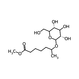 COC(=O)CCCCC(C)OC1OC(CO)[C@H](O)C(O)[C@@H]1O